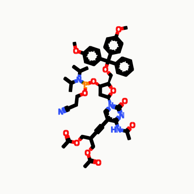 COc1ccc(C(OC[C@H]2O[C@@H](n3cc(C#CC(COC(C)=O)COC(C)=O)c(NC(C)=O)nc3=O)C[C@H]2OP(OCCC#N)N(C(C)C)C(C)C)(c2ccccc2)c2ccc(OC)cc2)cc1